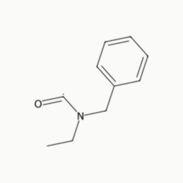 CCN([C]=O)Cc1ccccc1